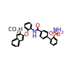 NS(=O)(=O)c1ccccc1-c1ccc(C(=O)Nc2ccccc2Oc2cc3ccccc3cc2C(=O)O)cc1